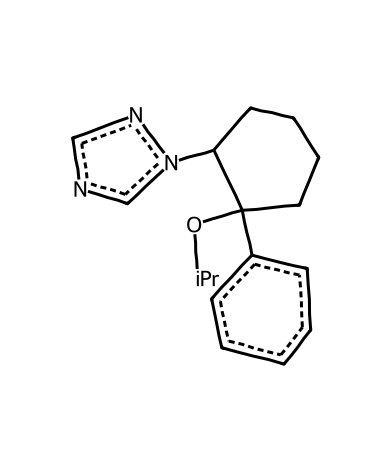 CC(C)OC1(c2ccccc2)CCCCC1n1cncn1